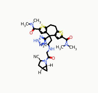 C[C@@H](CC1(c2nn[nH]n2)c2cc(C(=O)N(C)C)sc2CCc2sc(C(=O)N(C)C)cc21)NCC(=O)N1[C@H](C#N)C[C@@H]2C[C@@H]21